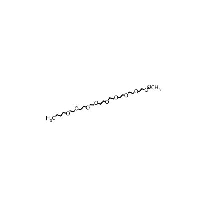 CCCCOCCOCCOCCOCCOCCOCCOCCOCCOOC